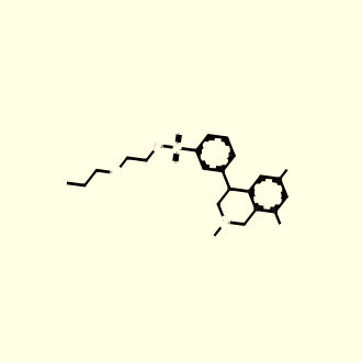 CCCOCCNS(=O)(=O)c1cccc(C2CN(C)Cc3c(Cl)cc(Cl)cc32)c1